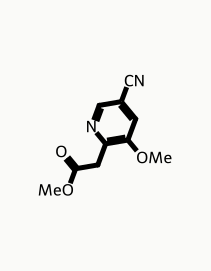 COC(=O)Cc1ncc(C#N)cc1OC